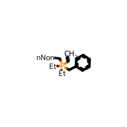 C=CP(CC)(CC)(CCCCCCCCCC)Cc1ccccc1